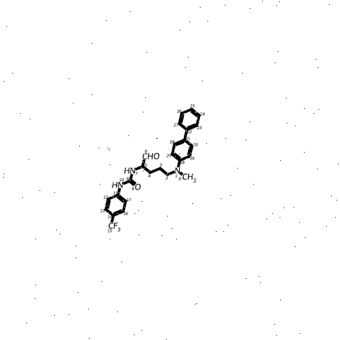 CN(CCCC(C=O)NC(=O)Nc1ccc(C(F)(F)F)cc1)c1ccc(-c2ccccc2)cc1